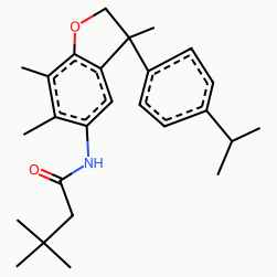 Cc1c(NC(=O)CC(C)(C)C)cc2c(c1C)OCC2(C)c1ccc(C(C)C)cc1